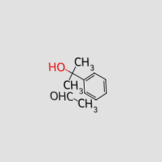 CC(C)(O)c1ccccc1.CC=O